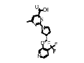 Cc1cc(C(=O)O)nc(N2CC[C@H](COc3cnccc3C(F)(F)F)C2)n1